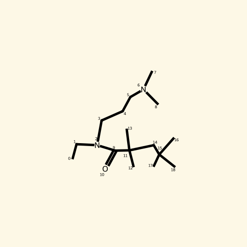 CCN(CCCN(C)C)C(=O)C(C)(C)CC(C)(C)C